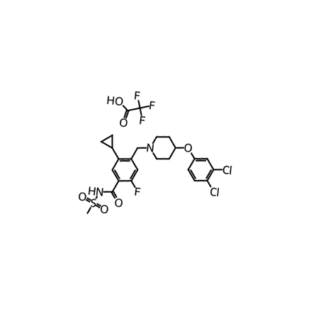 CS(=O)(=O)NC(=O)c1cc(C2CC2)c(CN2CCC(Oc3ccc(Cl)c(Cl)c3)CC2)cc1F.O=C(O)C(F)(F)F